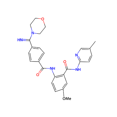 COc1ccc(NC(=O)c2ccc(C(=N)N3CCOCC3)cc2)c(C(=O)Nc2ccc(C)cn2)c1